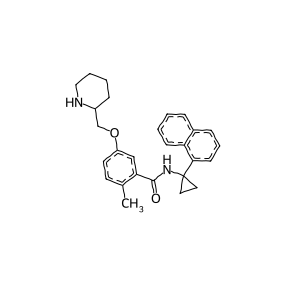 Cc1ccc(OCC2CCCCN2)cc1C(=O)NC1(c2cccc3ccccc23)CC1